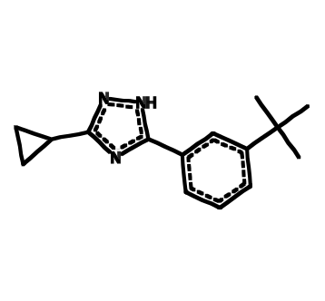 CC(C)(C)c1cccc(-c2nc(C3CC3)n[nH]2)c1